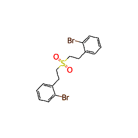 O=S(=O)(CCc1ccccc1Br)CCc1ccccc1Br